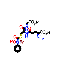 NC(CCC(=O)NC(CSC(=O)[N+](O)(Br)c1ccccc1)C(=O)NCC(=O)O)C(=O)O